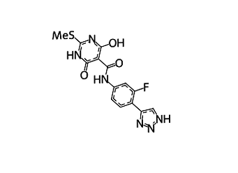 CSc1nc(O)c(C(=O)Nc2ccc(-c3c[nH]nn3)c(F)c2)c(=O)[nH]1